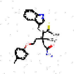 CNC(=S)[C@@H](Cc1c[nH]c2ccccc12)[C@@](CCOc1ccc(C)cc1)(CC(N)=O)C(=O)O